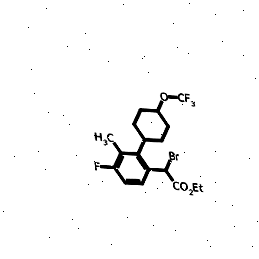 CCOC(=O)C(Br)c1ccc(F)c(C)c1C1CCC(OC(F)(F)F)CC1